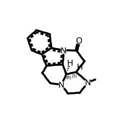 CN1CCN2CCc3c4n(c5ccccc35)C(=O)C[C@H]1[C@H]42